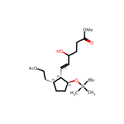 COC(=O)CCC(O)/C=C/[C@H]1[C@@H](CCOC(C)=O)CC[C@@H]1O[Si](C)(C)C(C)(C)C